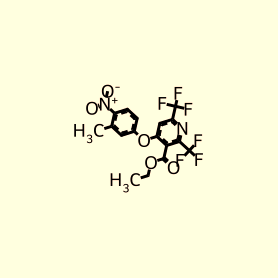 CCOC(=O)c1c(Oc2ccc([N+](=O)[O-])c(C)c2)cc(C(F)(F)F)nc1C(F)(F)F